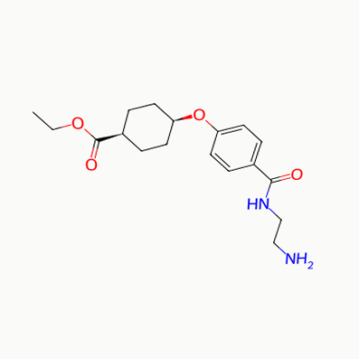 CCOC(=O)[C@H]1CC[C@@H](Oc2ccc(C(=O)NCCN)cc2)CC1